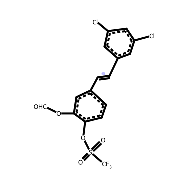 O=COc1cc(/C=C/c2cc(Cl)cc(Cl)c2)ccc1OS(=O)(=O)C(F)(F)F